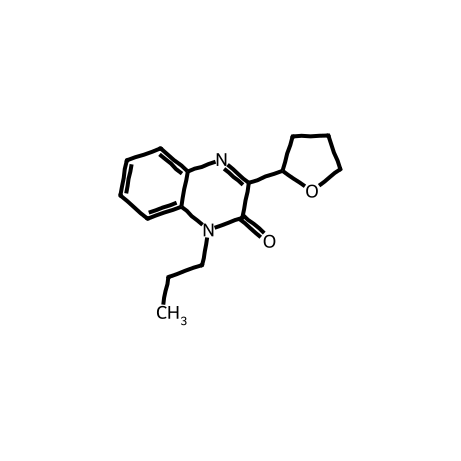 CCCn1c(=O)c(C2CCCO2)nc2ccccc21